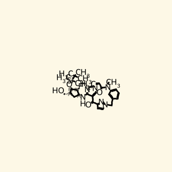 C=CC(=O)N(C)c1cccc(Cn2ccc(C(=O)c3cncnc3N[C@@H]3C[C@H](CO)[C@@H](O[Si](C)(C)C(C)(C)C)[C@@H]3F)n2)c1